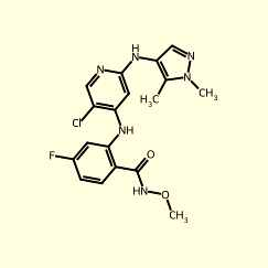 CONC(=O)c1ccc(F)cc1Nc1cc(Nc2cnn(C)c2C)ncc1Cl